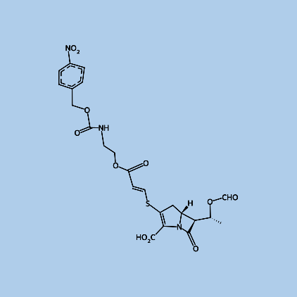 C[C@@H](OC=O)[C@H]1C(=O)N2C(C(=O)O)=C(SC=CC(=O)OCCNC(=O)OCc3ccc([N+](=O)[O-])cc3)C[C@H]12